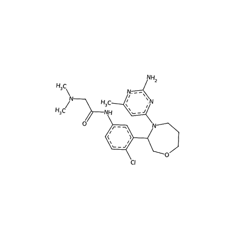 Cc1cc(N2CCCOCC2c2cc(NC(=O)CN(C)C)ccc2Cl)nc(N)n1